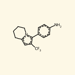 Nc1ccc(-c2c(C(F)(F)F)cc3n2CCCC3)cc1